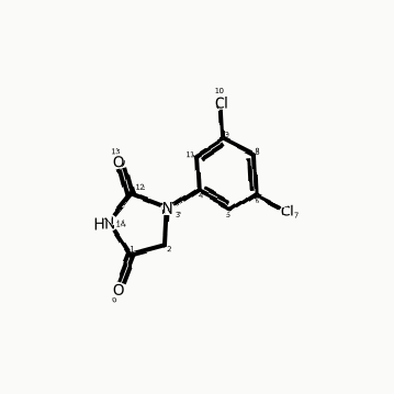 O=C1CN(c2cc(Cl)cc(Cl)c2)C(=O)N1